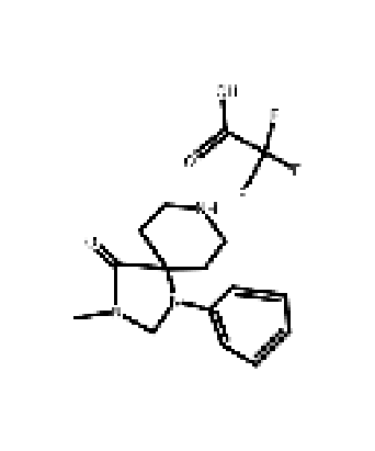 CN1CN(c2ccccc2)C2(CCNCC2)C1=O.O=C(O)C(F)(F)F